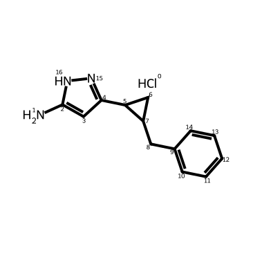 Cl.Nc1cc(C2CC2Cc2ccccc2)n[nH]1